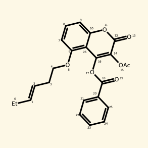 CCC=CCCOc1cccc2oc(=O)c(OC(C)=O)c(OC(=O)c3ccccc3)c12